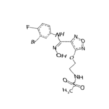 CS(=O)(=O)NCCOc1nonc1C(=NO)Nc1ccc(F)c(Br)c1